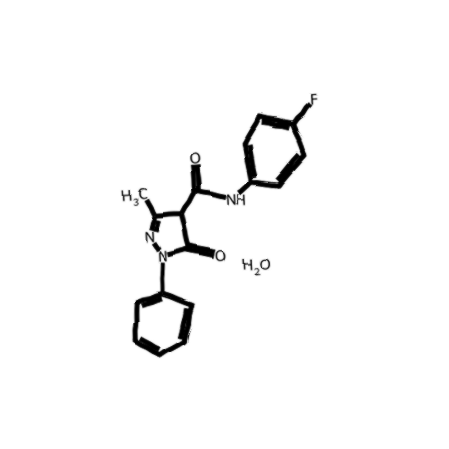 CC1=NN(c2ccccc2)C(=O)C1C(=O)Nc1ccc(F)cc1.O